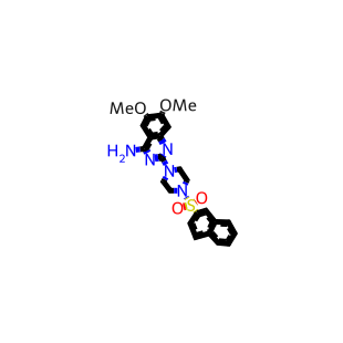 COc1cc2nc(N3CCN(S(=O)(=O)c4ccc5ccccc5c4)CC3)nc(N)c2cc1OC